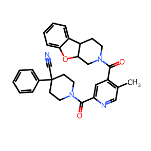 Cc1cnc(C(=O)N2CCC(C#N)(c3ccccc3)CC2)cc1C(=O)N1CCC2c3ccccc3OC2C1